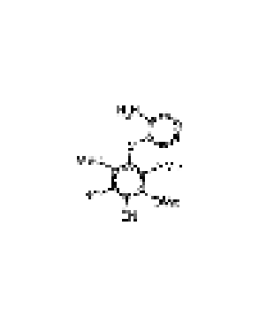 COc1c(C#N)c(C#N)c(OC)c(Sc2ccccc2N)c1SC